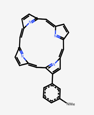 CNc1cccc(C2=CC3=CC4=NC(=CC5=NC(=CC6=NC(=CC2=N3)C=C6)C=C5)C=C4)c1